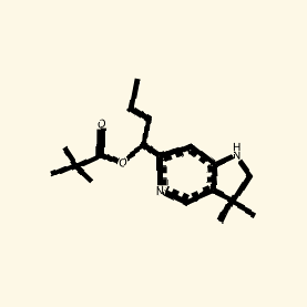 CCCC(OC(=O)C(C)(C)C)c1cc2c(cn1)C(C)(C)CN2